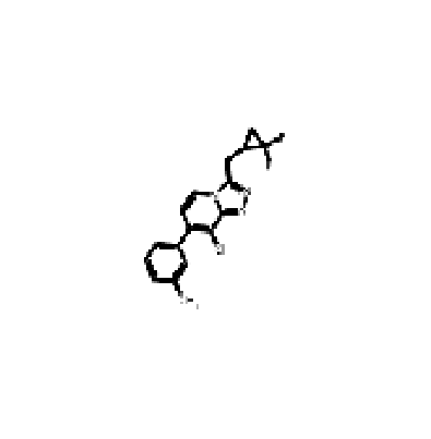 Cc1cccc(-c2ccn3c(CC4CC4(F)F)nnc3c2Cl)c1